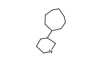 C1CCCC(C2CCC[N]C2)CCC1